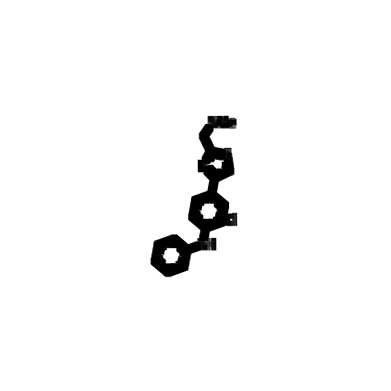 CNCc1nc(-c2ccc(Nc3ccccc3)cc2)cs1.Cl